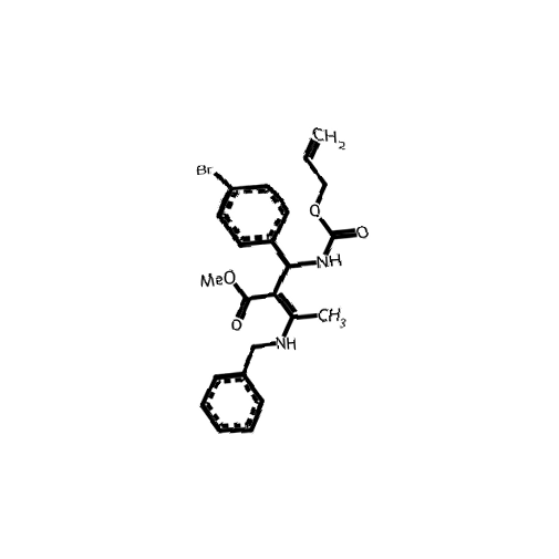 C=CCOC(=O)NC(C(C(=O)OC)=C(C)NCc1ccccc1)c1ccc(Br)cc1